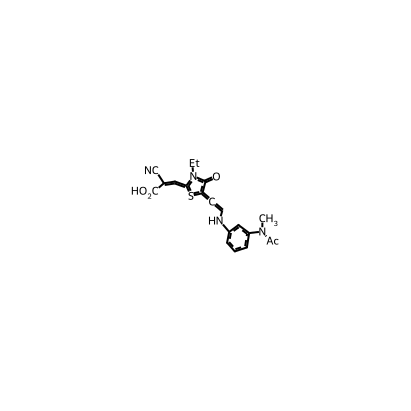 CCn1c(=C=C(C#N)C(=O)O)sc(=C=CNc2cccc(N(C)C(C)=O)c2)c1=O